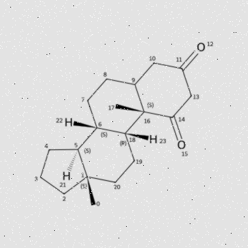 C[C@@]12CCC[C@H]1[C@@H]1CCC3CC(=O)CC(=O)[C@]3(C)[C@@H]1CC2